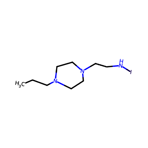 CCCN1CCN(CCNI)CC1